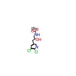 CC(C)(C)OC(=O)NCC(O)Cc1cnc(Cl)c(Cl)c1